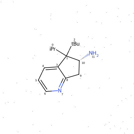 CC(C)C1(C(C)(C)C)c2cccnc2C[C@H]1N